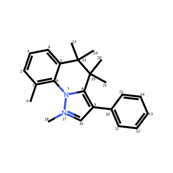 Cc1cccc2c1-n1c(c(-c3ccccc3)c[n+]1C)C(C)(C)C2(C)C